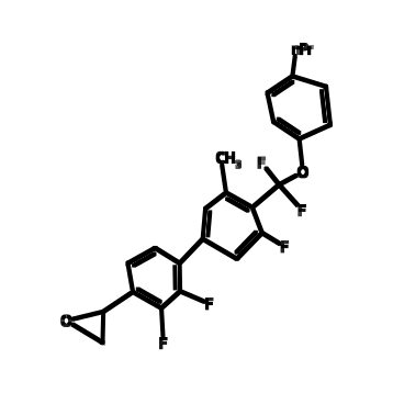 CCCc1ccc(OC(F)(F)c2c(C)cc(-c3ccc(C4CO4)c(F)c3F)cc2F)cc1